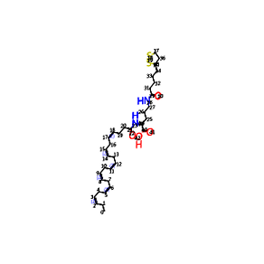 CC/C=C\C/C=C\C/C=C\C/C=C\C/C=C\C/C=C\CCC(=O)N[C@@H](CCCNC(=O)CCCC[C@@H]1CCSS1)C(=O)O